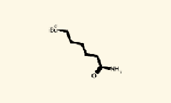 CC[C@H](C)CCCCCC(N)=O